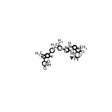 Cn1nc(C2CCC(=O)NC2=O)c2cc(F)c(C3CCN(C[C@H]4CCN(c5ncc(Cl)c(Nc6ccc7c(c6)c6c(c(=O)n7C)OCC(F)(F)[C@H](C7CC7)N6)n5)CC4(C)C)CC3)cc21